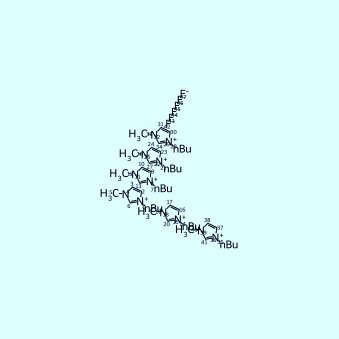 CCCC[n+]1ccn(C)c1.CCCC[n+]1ccn(C)c1.CCCC[n+]1ccn(C)c1.CCCC[n+]1ccn(C)c1.CCCC[n+]1ccn(C)c1.CCCC[n+]1ccn(C)c1.[F-].[F-].[F-].[F-].[F-].[F-]